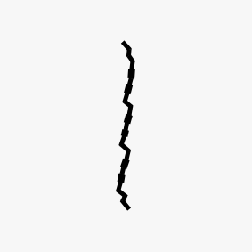 CCCCC#CC#CCCC#CC#CCCC#CC#CCCCC